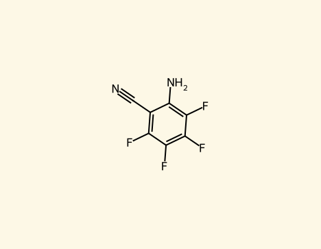 N#Cc1c(N)c(F)c(F)c(F)c1F